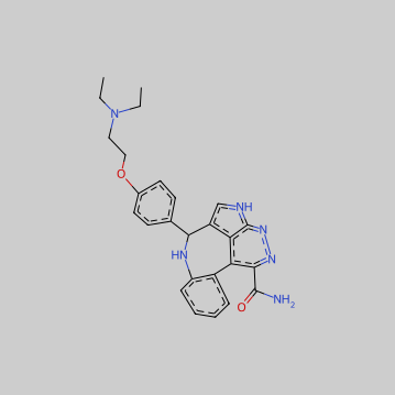 CCN(CC)CCOc1ccc(C2Nc3ccccc3-c3c(C(N)=O)nnc4[nH]cc2c34)cc1